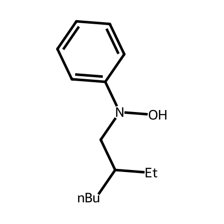 CCCCC(CC)CN(O)c1ccccc1